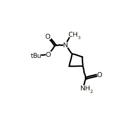 CN(C(=O)OC(C)(C)C)C1CC(C(N)=O)C1